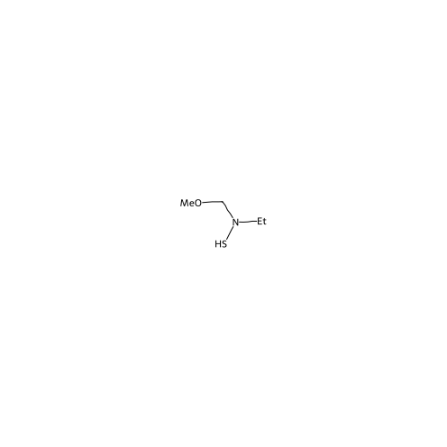 CCN(S)COC